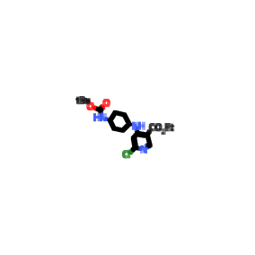 CCOC(=O)c1cnc(Cl)cc1N[C@H]1CC[C@H](NC(=O)OC(C)(C)C)CC1